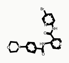 O=C(Nc1ccccc1C(=O)Nc1ccc(Br)cn1)c1ccc(N2CCOCC2)cc1